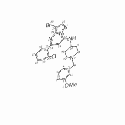 COc1cccc(CN2CCC(Nc3cc(-c4ccccc4Cl)nc4c(Br)cnn34)CC2)c1